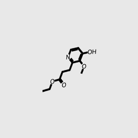 CCOC(=O)CCc1nccc(O)c1OC